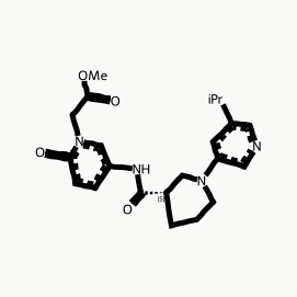 COC(=O)Cn1cc(NC(=O)[C@H]2CCCN(c3cncc(C(C)C)c3)C2)ccc1=O